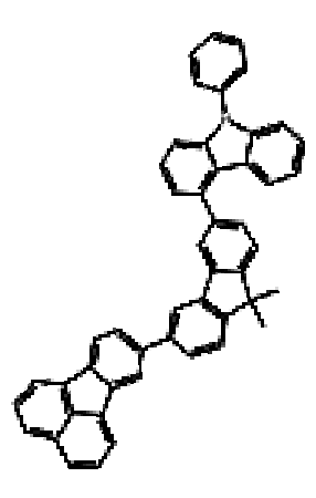 CC1(C)c2ccc(-c3ccc4c(c3)-c3cccc5cccc-4c35)cc2-c2cc(-c3cccc4c3c3ccccc3n4-c3ccccc3)ccc21